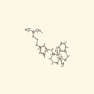 CN(C)CCCn1cnc(CN2CCC[C@H]3CCc4cccnc4[C@H]32)c1